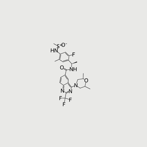 Cc1cc([C@@H](C)NC(=O)c2ccc3nc(C(F)(F)F)nc(N4CC(C)OC(C)C4)c3c2)c(F)cc1N[S+](C)[O-]